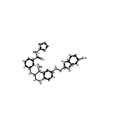 O=C(Nc1nccs1)c1cccc(CC2COc3ccc(OCc4nc5cc(F)ccc5s4)cc3C2O)c1